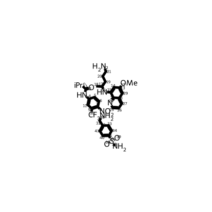 CC(C)C(=O)Nc1ccc([N+](=O)[O-])c(C(F)(F)F)c1.COc1cc(NC(C)CCCN)c2ncccc2c1.NCc1ccc(S(N)(=O)=O)cc1